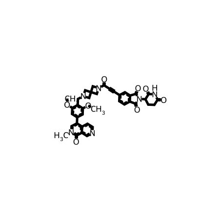 COc1cc(-c2cn(C)c(=O)c3cnccc23)cc(OC)c1CN1CC2(C1)CN(C(=O)C#Cc1ccc3c(c1)C(=O)N(C1CCC(=O)NC1=O)C3=O)C2